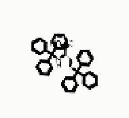 O=C(O)[C@H](CSC(c1ccccc1)(c1ccccc1)c1ccccc1)NC(c1ccccc1)(c1ccccc1)c1ccccc1